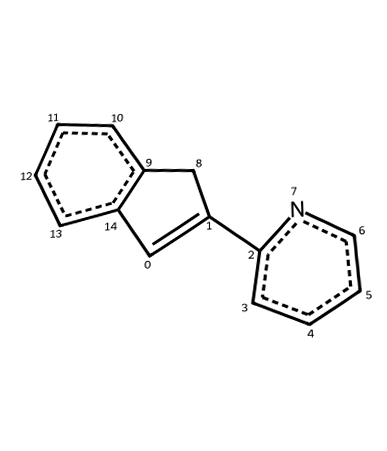 C1=C(c2ccccn2)Cc2ccccc21